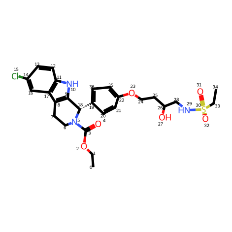 CCOC(=O)N1CCc2c([nH]c3ccc(Cl)cc23)[C@@H]1c1ccc(OCCC(O)CNS(=O)(=O)CC)cc1